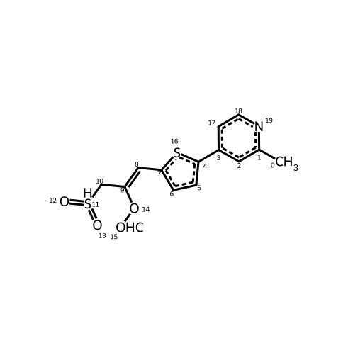 Cc1cc(-c2ccc(/C=C(/C[SH](=O)=O)OC=O)s2)ccn1